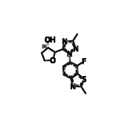 Cc1nc(C2OCC[C@@H]2O)n(-c2ccc3nc(C)sc3c2F)n1